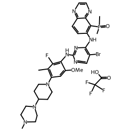 COc1cc(N2CCC(N3CCN(C)CC3)CC2)c(C)c(F)c1Nc1ncc(Br)c(Nc2ccc3nccnc3c2P(C)(C)=O)n1.O=C(O)C(F)(F)F